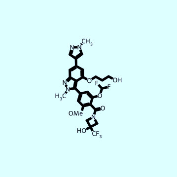 COc1cc(-c2c3c(OCCCO)cc(-c4cnn(C)c4)cc3nn2C)cc(OC(F)F)c1C(=O)N1CC(O)(C(F)(F)F)C1